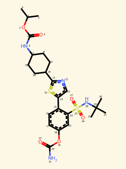 CC(C)OC(=O)NC1CCC(c2ncc(-c3ccc(OC(N)=O)cc3S(=O)(=O)NC(C)(C)C)s2)CC1